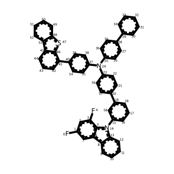 Fc1cc(F)c2c(c1)c1ccccc1n2-c1cccc(-c2ccc(N(c3ccc(-c4ccccc4)cc3)c3ccc(-c4cccc5c4sc4ccccc45)cc3)cc2)c1